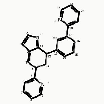 C1=CC2=CC(c3ccccn3)CC(c3cccc(-c4ccccn4)c3)C2=N1